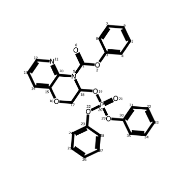 O=C(Oc1ccccc1)N1c2ncccc2OCC1OP(=O)(Oc1ccccc1)Oc1ccccc1